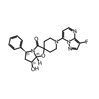 O=C1N2[C@H](OC13CCN(c1ccnc4c(F)cnn14)CC3)[C@@H](O)C[C@H]2c1ccccc1